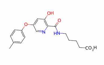 Cc1ccc(Oc2cnc(C(=O)NCCCCC(=O)O)c(O)c2)cc1